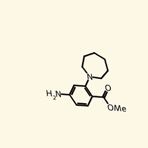 COC(=O)c1ccc(N)cc1N1CCCCCC1